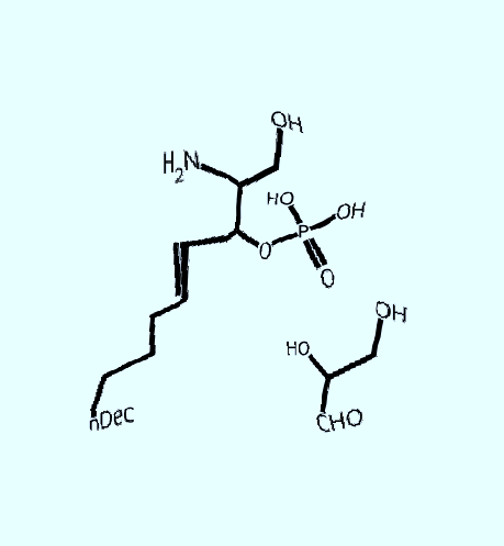 CCCCCCCCCCCCCC=CC(OP(=O)(O)O)C(N)CO.O=CC(O)CO